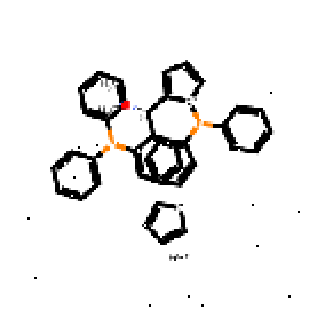 CN(C)[C@@H](c1ccccc1P(c1ccccc1)c1ccccc1)c1ccc[c-]1P(c1ccccc1)c1ccccc1.[Fe+2].c1cc[cH-]c1